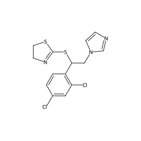 Clc1ccc(C(Cn2ccnc2)SC2=NCCS2)c(Cl)c1